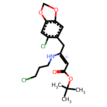 CC(C)(C)OC(=O)/C=C(/Cc1cc2c(cc1Cl)OCO2)NCCCCl